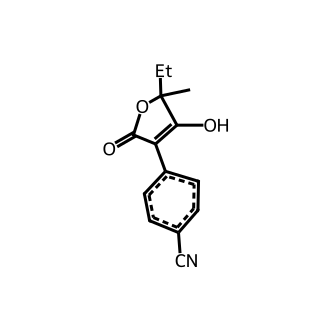 CCC1(C)OC(=O)C(c2ccc(C#N)cc2)=C1O